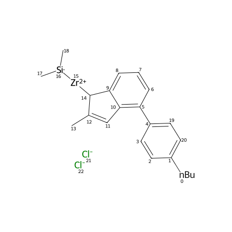 CCCCc1ccc(-c2cccc3c2C=C(C)[CH]3[Zr+2][Si](C)C)cc1.[Cl-].[Cl-]